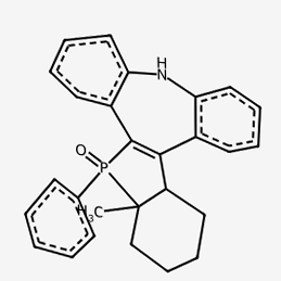 CC12CCCCC1C1=C(c3ccccc3Nc3ccccc31)P2(=O)c1ccccc1